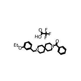 CCOc1cccc(CN2CCC3(CC2)CCN(C(=O)c2ccccc2)CC3)c1.O=C(O)C(F)(F)F